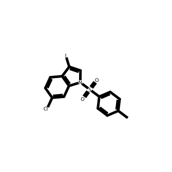 Cc1ccc(S(=O)(=O)n2cc(I)c3ccc(Cl)cc32)cc1